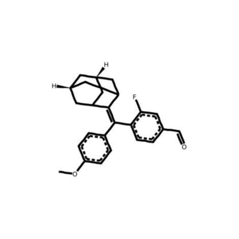 COc1ccc(C(=C2C3C[C@H]4CC2C[C@H](C3)C4)c2ccc(C=O)cc2F)cc1